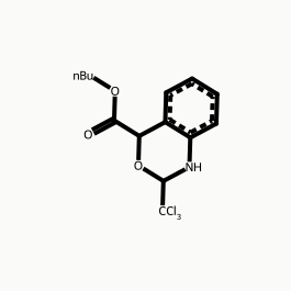 CCCCOC(=O)C1OC(C(Cl)(Cl)Cl)Nc2ccccc21